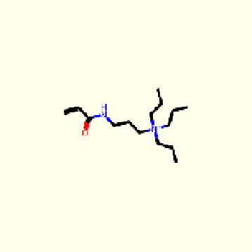 C=CC(=O)NCCC[N+](CCC)(CCC)CCC